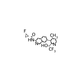 Cc1ccnc([C@@H](O)C(F)(F)F)c1-c1ccc2cc(NC(=O)[C@@H]3C[C@@H]3F)ncc2c1